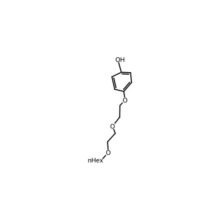 CCCCCCOCCOCCOc1ccc(O)cc1